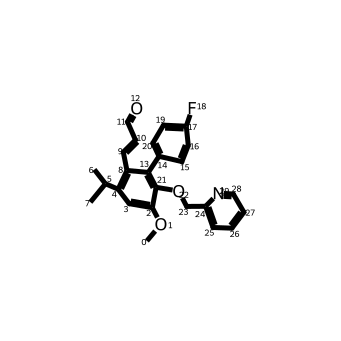 COc1cc(C(C)C)c(C=CC=O)c(-c2ccc(F)cc2)c1OCc1ccccn1